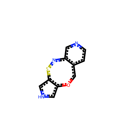 c1cc2coc3c[nH]cc3snc2cn1